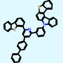 c1ccc(-c2ccc(-c3cc(-c4cccc(-n5c6ccccc6c6c7c(ccc65)sc5ccccc57)c4)nc(-c4cccc5c4sc4ccccc45)c3)cc2)cc1